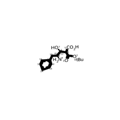 CC(C)(C)OC(=O)C(C(=O)O)[C@H](O)[C@@H](N)Cc1ccccc1